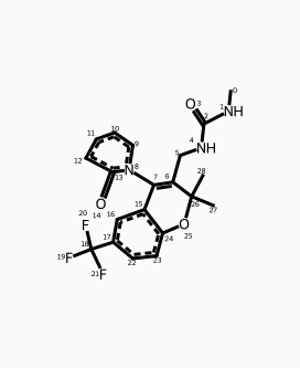 CNC(=O)NCC1=C(n2ccccc2=O)c2cc(C(F)(F)F)ccc2OC1(C)C